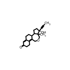 CC#C[C@]1(O)CCC2C3CCC4=CC(=O)CCC4=C3COCC21C